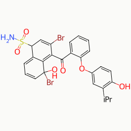 CC(C)c1cc(Oc2ccccc2C(=O)C2=C3C(=CC=CC3(O)Br)C(S(N)(=O)=O)C=C2Br)ccc1O